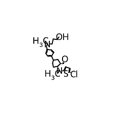 CN(CCCO)Cc1ccc(C2CC[C@@H](N(C)c3ccc(Cl)s3)[C@H](C=O)C2)cc1